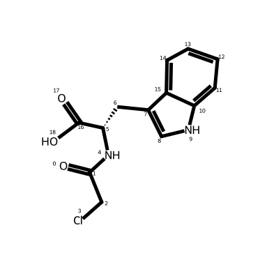 O=C(CCl)N[C@@H](Cc1c[nH]c2ccccc12)C(=O)O